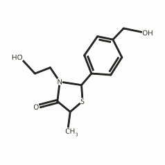 CC1SC(c2ccc(CO)cc2)N(CCO)C1=O